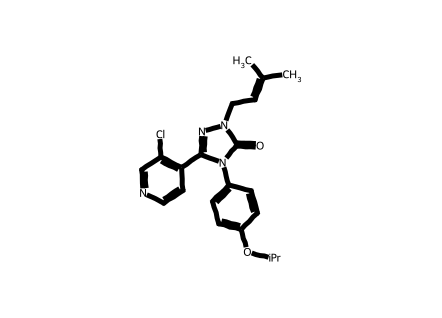 CC(C)=CCn1nc(-c2ccncc2Cl)n(-c2ccc(OC(C)C)cc2)c1=O